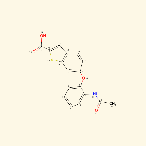 CC(=O)Nc1ccccc1Oc1ccc2cc(C(=O)O)sc2c1